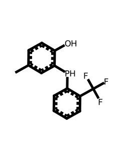 Cc1ccc(O)c(Pc2ccccc2C(F)(F)F)c1